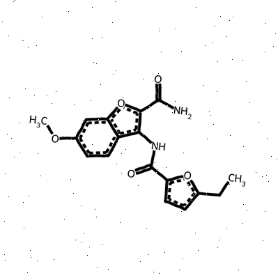 CCc1ccc(C(=O)Nc2c(C(N)=O)oc3cc(OC)ccc23)o1